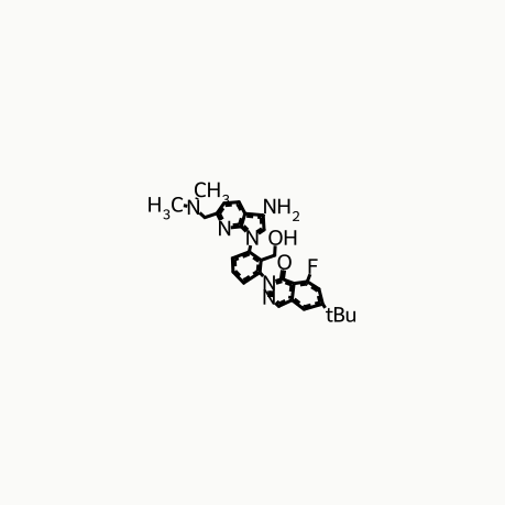 CN(C)Cc1ccc2c(N)cn(-c3cccc(-n4ncc5cc(C(C)(C)C)cc(F)c5c4=O)c3CO)c2n1